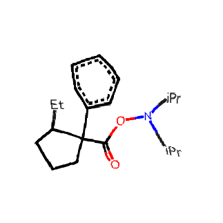 CCC1CCCC1(C(=O)ON(C(C)C)C(C)C)c1ccccc1